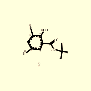 CC(C)(C)OC(=O)c1cc(Br)cc(Br)c1O.[K]